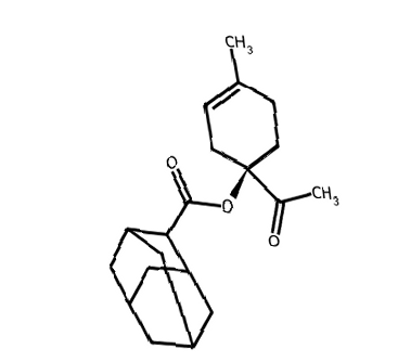 CC(=O)[C@]1(OC(=O)C2C3CC4CC(C3)CC2C4)CC=C(C)CC1